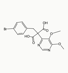 COc1ncnc(C(Cc2ccc(Br)cc2)(C(=O)O)C(=O)O)c1OC